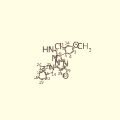 COc1ccc(-c2c(C=N)nn3c(N(Cc4ccccc4)CC4CC4)c4c(nc23)COC4)c(Cl)c1